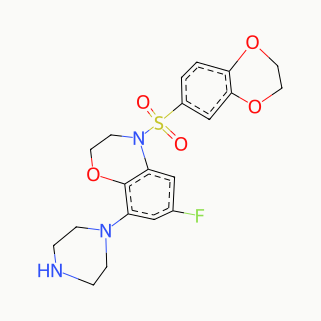 O=S(=O)(c1ccc2c(c1)OCCO2)N1CCOc2c(N3CCNCC3)cc(F)cc21